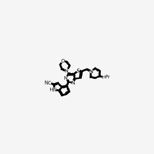 CCCC1CCN(Cc2cc3nc(-c4cccc5[nH]c(C#N)cc45)nc(N4CCOCC4)c3s2)CC1